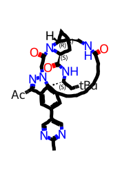 CC(=O)c1nn2c3c(cc(-c4cnc(C)nc4)cc13)CCCCCCC(=O)NC[C@@]13C[C@@H](C(=O)N[C@@H](C)CC(C)(C)C)N(C(=O)C2)[C@@H]1C3